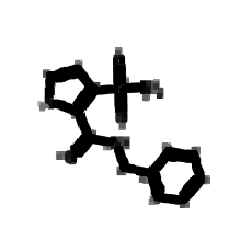 NS(=O)(=O)c1ccsc1C(=O)NCc1ccccc1